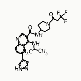 CC(C)Nc1c(C(=O)NC2CCN(C(=O)CC(F)(F)F)CC2)cnc2ccc(-c3cn[nH]c3)cc12